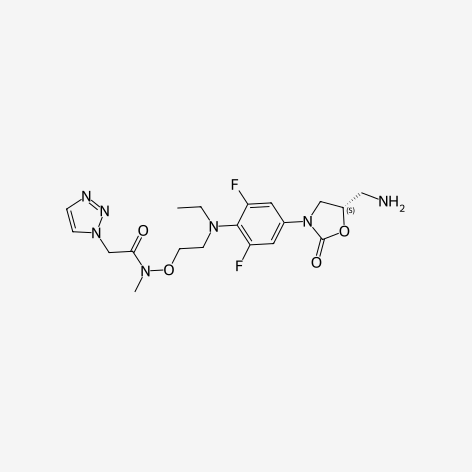 CCN(CCON(C)C(=O)Cn1ccnn1)c1c(F)cc(N2C[C@H](CN)OC2=O)cc1F